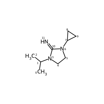 CC(C)N1CCN(C2CC2)C1=N